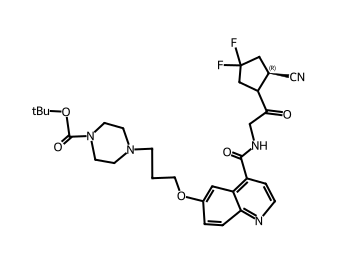 CC(C)(C)OC(=O)N1CCN(CCCOc2ccc3nccc(C(=O)NCC(=O)C4CC(F)(F)C[C@H]4C#N)c3c2)CC1